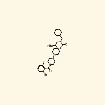 CCCCC1CN(CC2CCCCC2)C(=O)OC12CCN(C1CCN(C(=O)c3c(F)cccc3Br)CC1)CC2